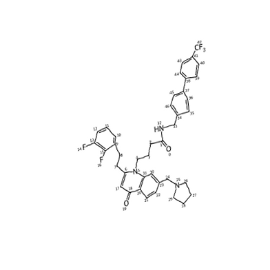 O=C(CCCn1c(CCc2cccc(F)c2F)cc(=O)c2ccc(CN3CCCC3)cc21)NCc1ccc(-c2ccc(C(F)(F)F)cc2)cc1